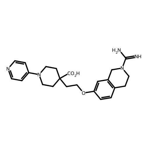 N=C(N)N1CCc2ccc(OCCC3(C(=O)O)CCN(c4ccncc4)CC3)cc2C1